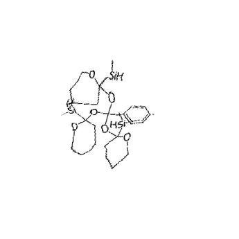 C[SiH](C)C1(OC(OC2([SiH](C)C)CCCCO2)(OC2([SiH](C)C)CCCCO2)c2cc[c]cc2)CCCCO1